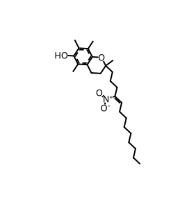 CCCCCCCCC=C(CCCC1(C)CCc2c(C)c(O)c(C)c(C)c2O1)[N+](=O)[O-]